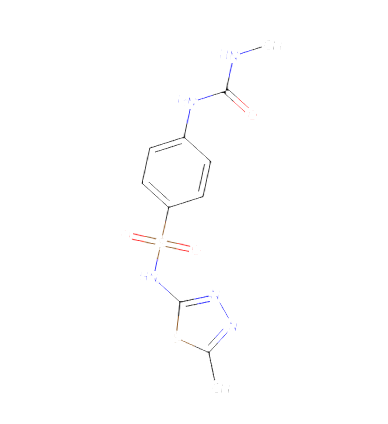 CNC(=O)Nc1ccc(S(=O)(=O)Nc2nnc(C)s2)cc1